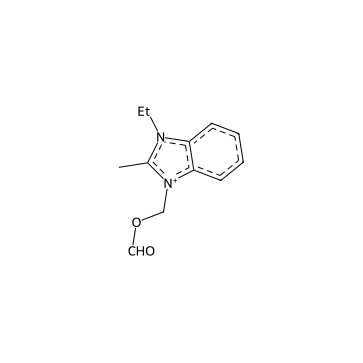 CCn1c(C)[n+](COC=O)c2ccccc21